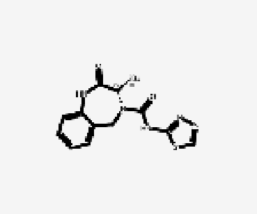 CC[C@H](C)[C@H]1C(=O)Nc2ccccc2CN1C(=O)Nc1nncs1